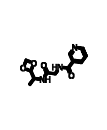 CC(NC(=O)CNC(=O)c1cccnc1)C1OCO1